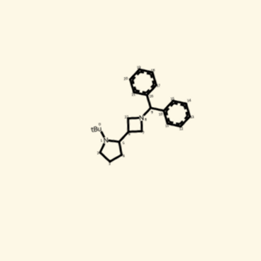 CC(C)(C)N1CCCC1C1CN(C(c2ccccc2)c2ccccc2)C1